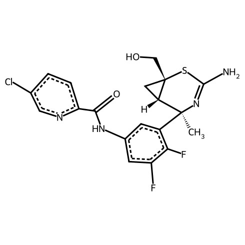 C[C@@]1(c2cc(NC(=O)c3ccc(Cl)cn3)cc(F)c2F)N=C(N)S[C@@]2(CO)C[C@H]21